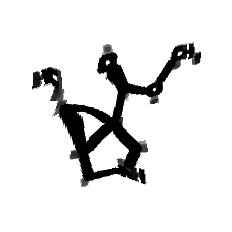 COC(=O)C12CNCC1C2.Cl